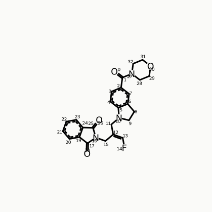 O=C(c1ccc2c(c1)CCN2CC(=CF)CN1C(=O)c2ccccc2C1=O)N1CCOCC1